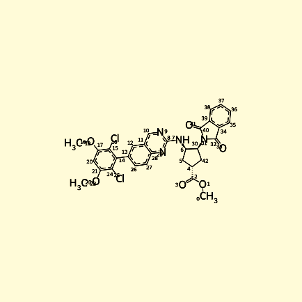 COC(=O)[C@@H]1C[C@@H](Nc2ncc3cc(-c4c(Cl)c(OC)cc(OC)c4Cl)ccc3n2)[C@@H](N2C(=O)c3ccccc3C2=O)C1